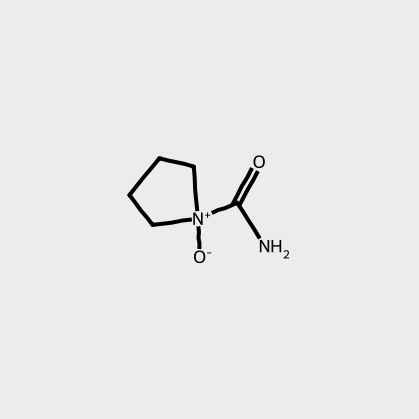 NC(=O)[N+]1([O-])CCCC1